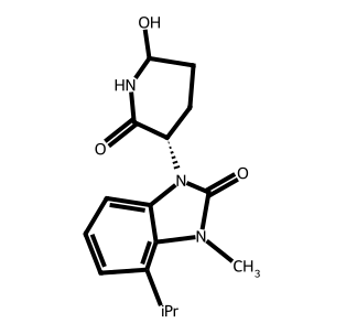 CC(C)c1cccc2c1n(C)c(=O)n2[C@H]1CCC(O)NC1=O